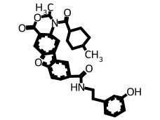 CC1CCC(C(=O)N2c3cc4c(cc3C(=O)OC2C)oc2ccc(C(=O)NCCc3cccc(O)c3)cc24)CC1